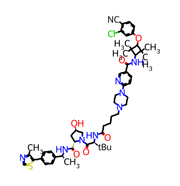 Cc1ncsc1-c1ccc([C@H](C)NC(=O)[C@@H]2C[C@@H](O)CN2C(=O)[C@@H](NC(=O)CCCCN2CCN(c3ccc(C(=O)NC4C(C)(C)C(Oc5ccc(C#N)c(Cl)c5)C4(C)C)cn3)CC2)C(C)(C)C)cc1